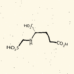 O=C(O)CC[C@H](NCS(=O)(=O)O)C(=O)O